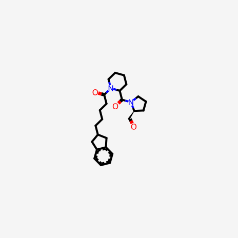 O=C[C@@H]1CCCN1C(=O)C1CCCCN1C(=O)CCCCC1Cc2ccccc2C1